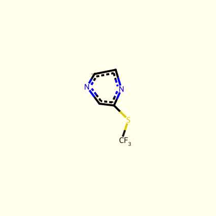 FC(F)(F)Sc1cn[c]cn1